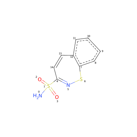 NS(=O)(=O)C1=NSc2ccccc2C=C1